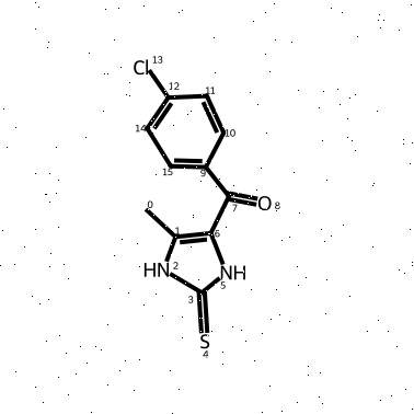 Cc1[nH]c(=S)[nH]c1C(=O)c1ccc(Cl)cc1